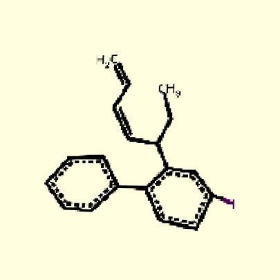 C=C/C=C\C(CC)c1cc(I)ccc1-c1ccccc1